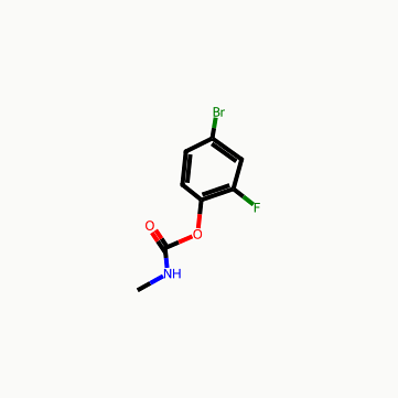 CNC(=O)Oc1ccc(Br)cc1F